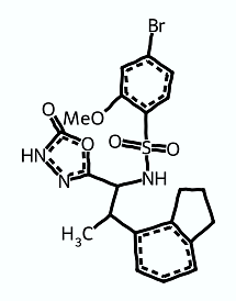 COc1cc(Br)ccc1S(=O)(=O)NC(c1n[nH]c(=O)o1)C(C)c1cccc2c1CCC2